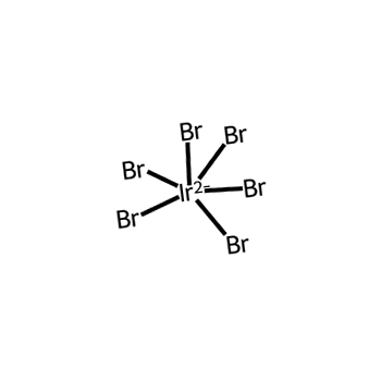 [Br][Ir-2]([Br])([Br])([Br])([Br])[Br]